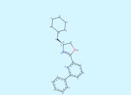 c1ccc(-c2cccc(C3=N[C@@H](CC4CCCCC4)CO3)n2)cc1